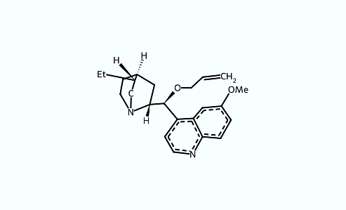 C=CCO[C@@H](c1ccnc2ccc(OC)cc12)[C@H]1C[C@@H]2CCN1C[C@@H]2CC